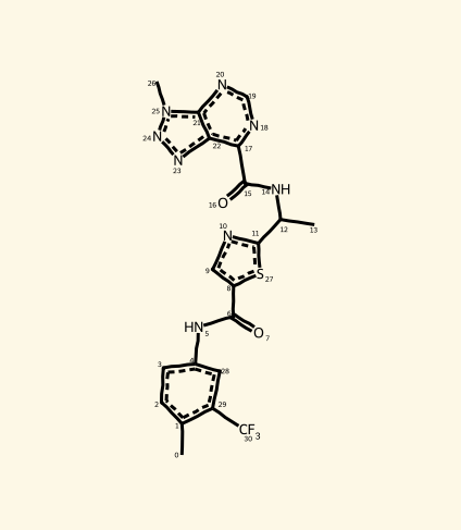 Cc1ccc(NC(=O)c2cnc(C(C)NC(=O)c3ncnc4c3nnn4C)s2)cc1C(F)(F)F